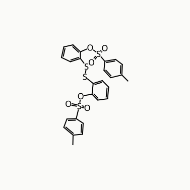 Cc1ccc(S(=O)(=O)Oc2ccccc2SSc2ccccc2OS(=O)(=O)c2ccc(C)cc2)cc1